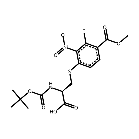 COC(=O)c1ccc(SC[C@H](NC(=O)OC(C)(C)C)C(=O)O)c([N+](=O)[O-])c1F